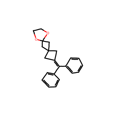 c1ccc(C(=C2CC3(C2)CC2(C3)OCCO2)c2ccccc2)cc1